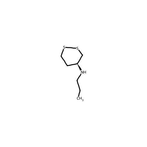 CCCN[C@H]1CCSSC1